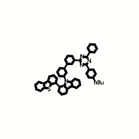 CCCCc1ccc(-c2nc(-c3ccccc3)nc(-c3cccc(-c4cccc(-n5c6ccccc6c6cccc(-c7cccc8c7sc7ccccc78)c65)c4)c3)n2)cc1